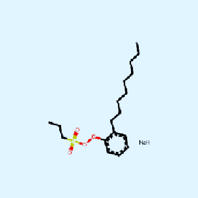 CCCCCCCCCc1ccccc1OOS(=O)(=O)CCC.[NaH]